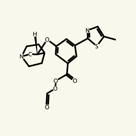 Cc1cnc(-c2cc(O[C@H]3CN4CCC3CC4)cc(C(=O)OOC=O)c2)s1